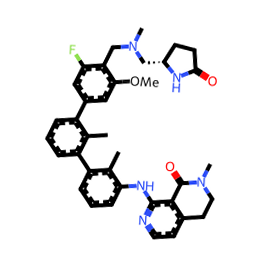 COc1cc(-c2cccc(-c3cccc(Nc4nccc5c4C(=O)N(C)CC5)c3C)c2C)cc(F)c1CN(C)C[C@@H]1CCC(=O)N1